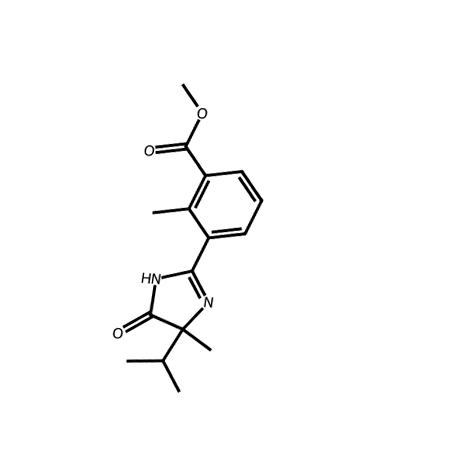 COC(=O)c1cccc(C2=NC(C)(C(C)C)C(=O)N2)c1C